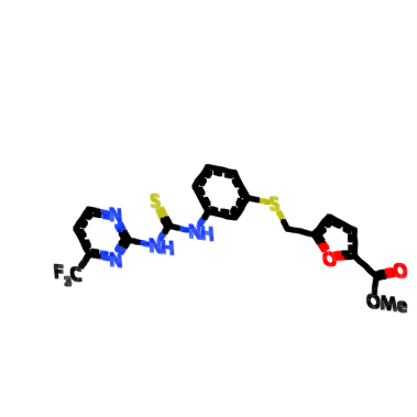 COC(=O)c1ccc(CSc2cccc(NC(=S)Nc3nccc(C(F)(F)F)n3)c2)o1